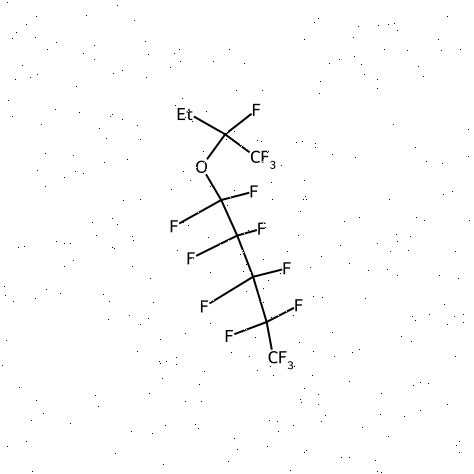 CCC(F)(OC(F)(F)C(F)(F)C(F)(F)C(F)(F)C(F)(F)F)C(F)(F)F